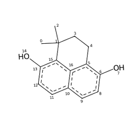 CC1(C)CCc2c(O)ccc3ccc(O)c1c23